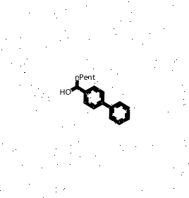 CCCCCC(O)c1ccc(-c2ccccc2)cc1